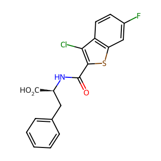 O=C(N[C@@H](Cc1ccccc1)C(=O)O)c1sc2cc(F)ccc2c1Cl